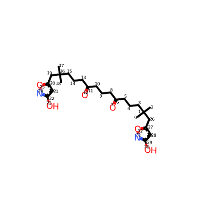 CC(C)(CCCC(=O)CCCC(=O)CCCC(C)(C)Cc1cc(O)no1)Cc1cc(O)no1